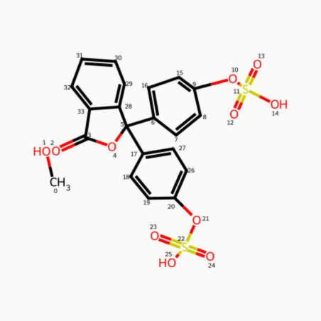 CO.O=C1OC(c2ccc(OS(=O)(=O)O)cc2)(c2ccc(OS(=O)(=O)O)cc2)c2ccccc21